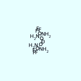 Nc1cc(C(F)(F)F)cc(N)c1-c1ccc(Oc2ccc(-c3c(N)cc(C(F)(F)F)cc3N)cc2)cc1